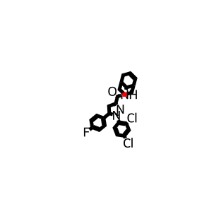 O=C(NC1C2C=CCC1CCC2)C1=NN(c2ccc(Cl)cc2Cl)C(c2ccc(F)cc2)C1